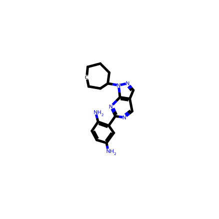 Nc1ccc(N)c(-c2ncc3cnn(C4CCCCCC4)c3n2)c1